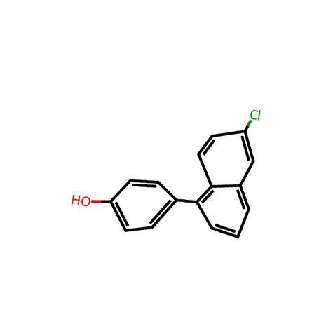 Oc1ccc(-c2cccc3cc(Cl)ccc23)cc1